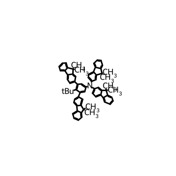 CC(C)(C)c1c(-c2ccc3c(c2)C(C)(C)c2ccccc2-3)cc(N(c2ccc3c(c2)C(C)(C)c2ccccc2-3)c2ccc3c(c2)C(C)(C)c2ccccc2-3)cc1-c1ccc2c(c1)C(C)(C)c1ccccc1-2